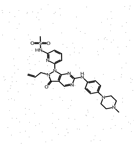 C=CCn1c(=O)c2cnc(Nc3ccc(N4CCN(C)CC4)cc3)nc2n1-c1cccc(NS(C)(=O)=O)n1